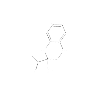 CCOC(=O)C(C)C1(N)COc2ccccc2O1